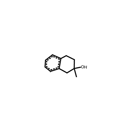 CC1(O)CCc2ccc[c]c2C1